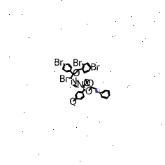 COc1ccc(C(OC(=O)/C=C/c2ccccc2)C(OC)N2C=CN(C(Br)C(OCc3ccc(Br)cc3Br)c3ccc(Br)cc3)C2)cc1